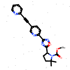 CC(C)(C)OC(=O)N1C(c2nc(-c3ccc(C#Cc4ccccn4)cn3)no2)CCC1(C)C